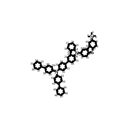 C[Si](C)(C)c1ccc2sc3ccc(-n4c5ccccc5c5cc(-c6ccc(N(c7ccc(-c8ccccc8)cc7)c7ccc(-c8ccccc8)cc7)cc6)ccc54)cc3c2c1